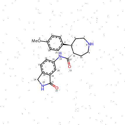 COc1ccc([C@H]2CCNCC[C@@H]2C(=O)Nc2ccc3c(c2)C(=O)NC3)cc1